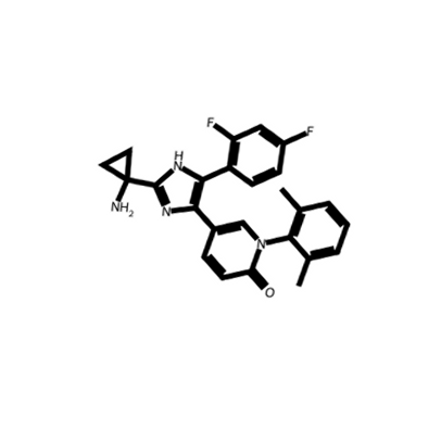 Cc1cccc(C)c1-n1cc(-c2nc(C3(N)CC3)[nH]c2-c2ccc(F)cc2F)ccc1=O